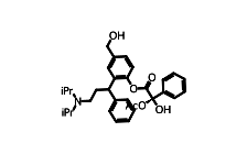 CC(=O)O[C@@](O)(C(=O)Oc1ccc(CO)cc1C(CCN(C(C)C)C(C)C)c1ccccc1)c1ccccc1